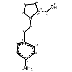 Nc1ccc(CCN2CCC[C@@H]2CO)cc1